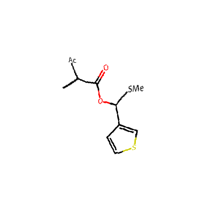 CSC(OC(=O)C(C)C(C)=O)c1ccsc1